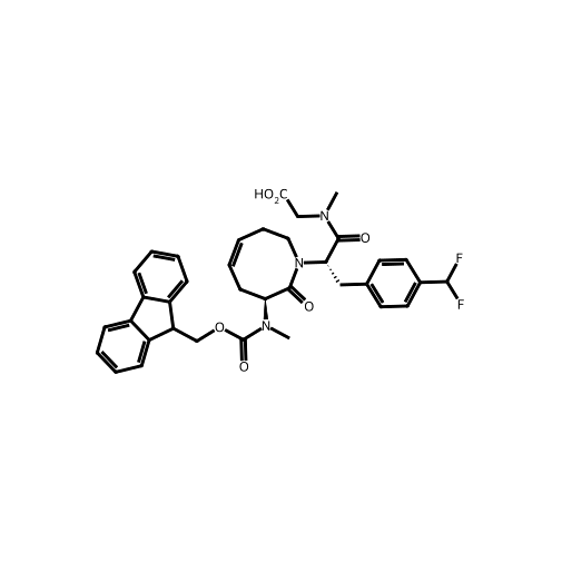 CN(CC(=O)O)C(=O)[C@H](Cc1ccc(C(F)F)cc1)N1CC/C=C\C[C@H](N(C)C(=O)OCC2c3ccccc3-c3ccccc32)C1=O